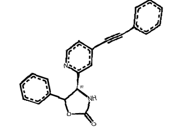 O=C1N[C@H](c2cc(C#Cc3ccccc3)ccn2)C(c2ccccc2)O1